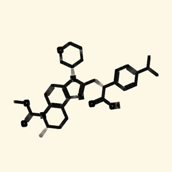 COC(=O)N1c2ccc3c(nc(C[C@@H](C(=O)O)c4ccc(C(C)C)cc4)n3[C@H]3CCCOC3)c2CC[C@@H]1C